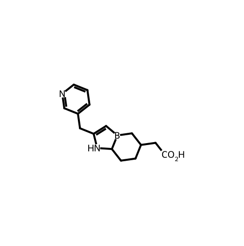 O=C(O)CC1CCC2NC(Cc3cccnc3)=CB2C1